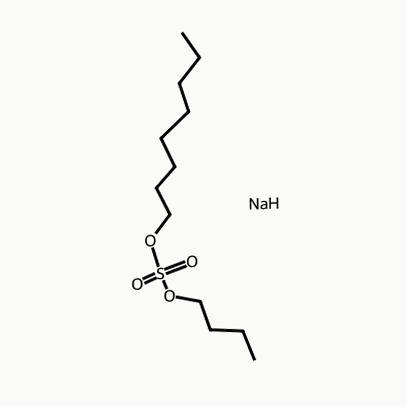 CCCCCCCCOS(=O)(=O)OCCCC.[NaH]